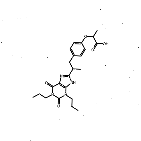 CCCn1c(=O)c2nc(C(C)Cc3ccc(OC(C)C(=O)O)cc3)[nH]c2n(CCC)c1=O